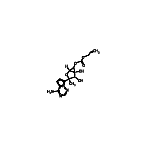 C=CCOC(=O)OC1[C@H]2O[C@@](C)(c3ccc4c(N)ncnn34)[C@H](O)[C@@]12O